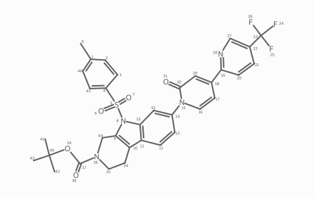 Cc1ccc(S(=O)(=O)n2c3c(c4ccc(-n5ccc(-c6ccc(C(F)(F)F)cn6)cc5=O)cc42)CCN(C(=O)OC(C)(C)C)C3)cc1